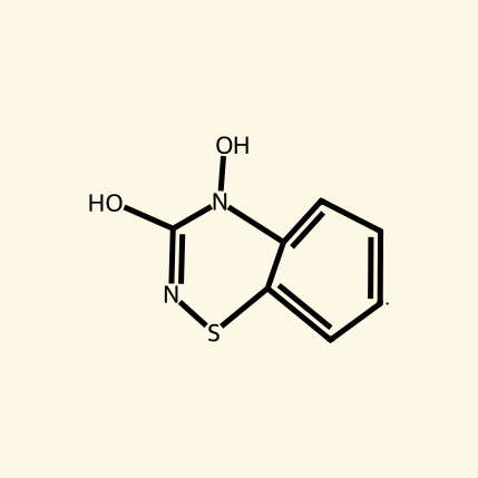 OC1=NSc2c[c]ccc2N1O